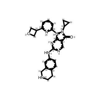 O=c1c2cnc(Nc3ccc4c(c3)CNCC4)nc2n(-c2cccc(C3COC3)n2)n1C1CC1